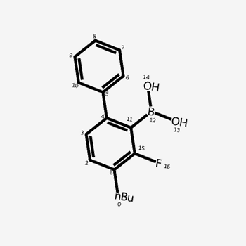 CCCCc1ccc(-c2ccccc2)c(B(O)O)c1F